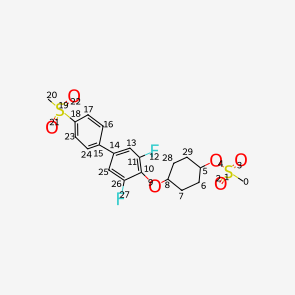 CS(=O)(=O)OC1CCC(Oc2c(F)cc(-c3ccc(S(C)(=O)=O)cc3)cc2F)CC1